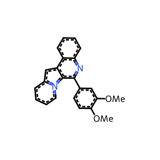 COc1ccc(-c2nc3ccccc3c3cc4ccccn4c23)cc1OC